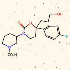 O=C(O)N1CCCC(N2CCC(CCCO)(c3ccc(F)cc3)OC2=O)C1